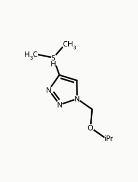 CC(C)OCn1cc([SH](C)C)nn1